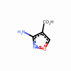 Nc1nocc1C(=O)O